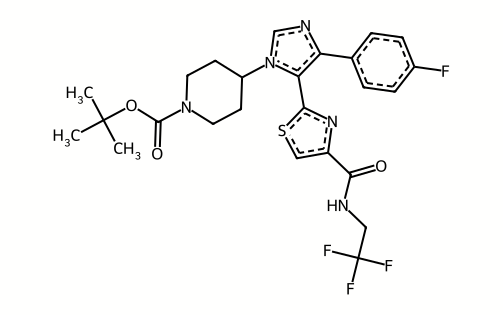 CC(C)(C)OC(=O)N1CCC(n2cnc(-c3ccc(F)cc3)c2-c2nc(C(=O)NCC(F)(F)F)cs2)CC1